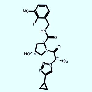 CC(C)(C)[C@@H](C(=O)N1C[C@H](O)C[C@H]1C(=O)NCc1cccc(C#N)c1F)n1cc(C2CC2)nn1